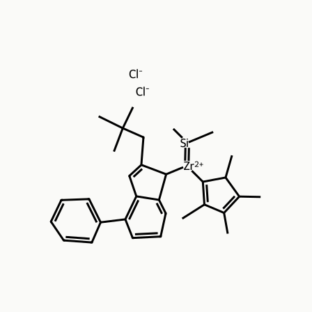 CC1=C(C)C(C)[C]([Zr+2]([CH]2C(CC(C)(C)C)=Cc3c(-c4ccccc4)cccc32)=[Si](C)C)=C1C.[Cl-].[Cl-]